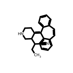 CCC(C#N)C1CNCCC1=C1c2ccccc2C=Cc2ccccc21